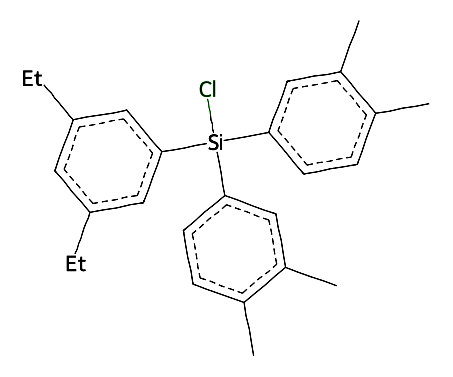 CCc1cc(CC)cc([Si](Cl)(c2ccc(C)c(C)c2)c2ccc(C)c(C)c2)c1